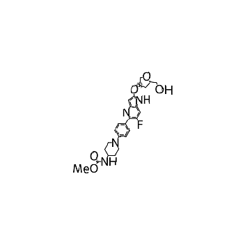 COC(=O)NC1CCN(c2ccc(-c3nc4cc(O[C@@H]5COC(CO)C5)[nH]c4cc3F)cc2)CC1